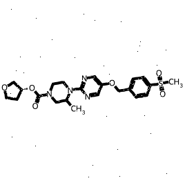 CC1CN(C(=O)O[C@@H]2CCOC2)CCN1c1ncc(OCc2ccc(S(C)(=O)=O)cc2)cn1